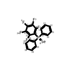 Fc1c(F)c(F)c(P(=[Se])(c2ccccc2)c2ccccc2)c(F)c1F